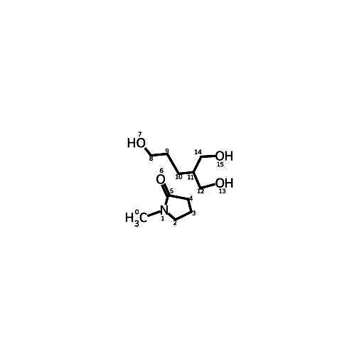 CN1CCCC1=O.OCCCC(CO)CO